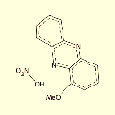 COc1cccc2nc3ccccc3nc12.O=[N+]([O-])O